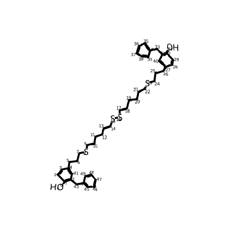 Oc1ccc(CCCSCCCCCCSSCCCCCCSCCCc2ccc(O)c(Cc3ccccc3)c2)cc1Cc1ccccc1